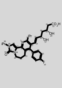 CC(C)c1nc2c(c(-c3ccc(F)cc3)c1/C=C/[C@@H](O)C[C@@H](O)CC(=O)O)CCCn1c-2cn(C(C)C)c1=O